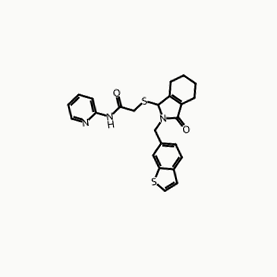 O=C(CSC1C2=C(CCCC2)C(=O)N1Cc1ccc2ccsc2c1)Nc1ccccn1